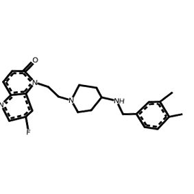 Cc1ccc(CNC2CCN(CCn3c(=O)ccc4ncc(F)cc43)CC2)cc1C